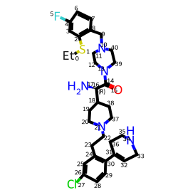 CCSc1cc(F)ccc1CN1CCN(C(=O)[C@H](N)C2CCN(CCc3cc(Cl)ccc3C3=CCNCC3)CC2)CC1